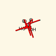 C=CC(=O)OCCCC(=C)/C=C1/Cc2cc(CCCOC(=O)C=C)cc(c2OCCCCCCCCCCCCCCCCCC)Cc2cc(CCCO)cc(c2OCCCCCCCCCCCCCCCCCC)Cc2cc(CCCO)cc(c2OCCCCCCCCCCCCCCCCCC)CC(C)C1OCCCCCCCCCCCCCCCCCC